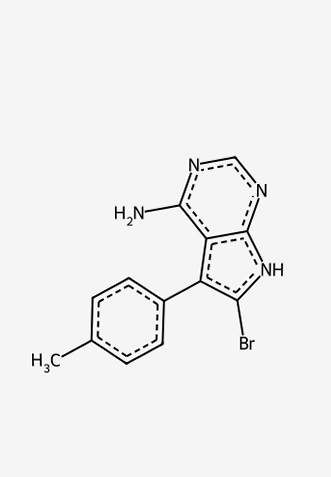 Cc1ccc(-c2c(Br)[nH]c3ncnc(N)c23)cc1